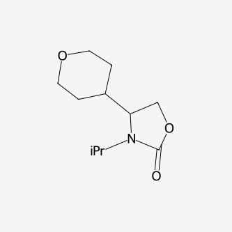 CC(C)N1C(=O)OCC1C1CCOCC1